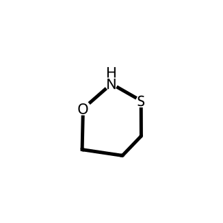 C1CONSC1